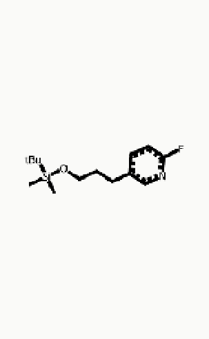 CC(C)(C)[Si](C)(C)OCCCc1ccc(F)nc1